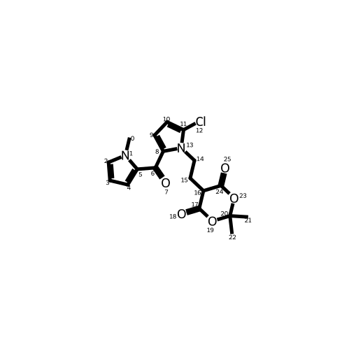 Cn1cccc1C(=O)c1ccc(Cl)n1CCC1C(=O)OC(C)(C)OC1=O